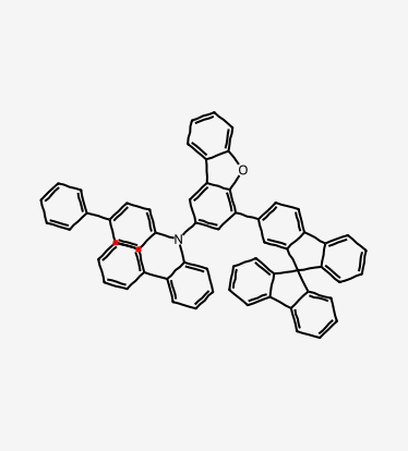 c1ccc(-c2ccc(N(c3cc(-c4ccc5c(c4)C4(c6ccccc6-c6ccccc64)c4ccccc4-5)c4oc5ccccc5c4c3)c3ccccc3-c3ccccc3)cc2)cc1